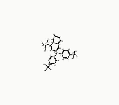 CC(C)(C)c1ccc([I+]c2ccc(C(C)(C)C)cc2)cc1.O=S(=O)([O-])c1cccc2ccccc12